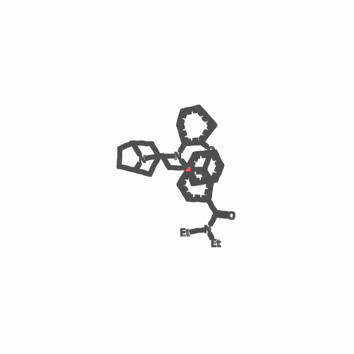 CCN(CC)C(=O)c1ccc2c(c1)Oc1ccccc1N2C1CC2CCC(C1)N2CCc1ccccc1